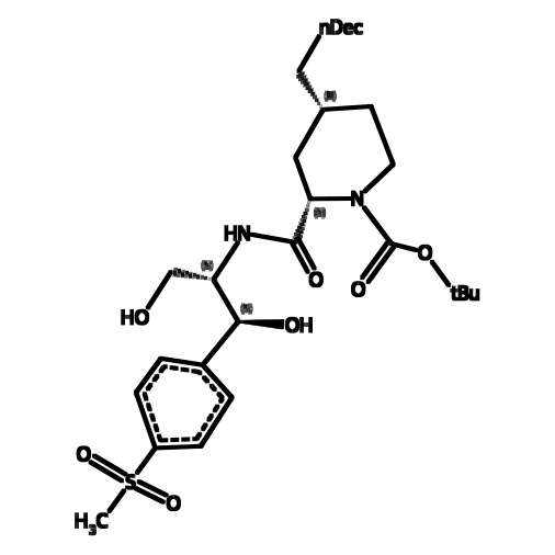 CCCCCCCCCCC[C@@H]1CCN(C(=O)OC(C)(C)C)[C@H](C(=O)N[C@@H](CO)[C@@H](O)c2ccc(S(C)(=O)=O)cc2)C1